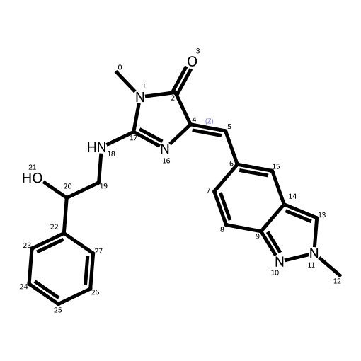 CN1C(=O)/C(=C/c2ccc3nn(C)cc3c2)N=C1NCC(O)c1ccccc1